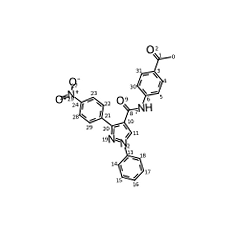 CC(=O)c1ccc(NC(=O)c2cn(-c3ccccc3)nc2-c2ccc([N+](=O)[O-])cc2)cc1